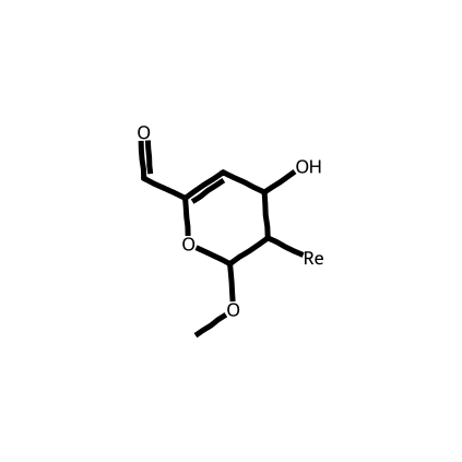 COC1OC(C=O)=CC(O)[CH]1[Re]